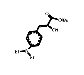 CCN(CC)c1ccc(/C=C(\C#N)C(=O)OCC(C)C)cc1